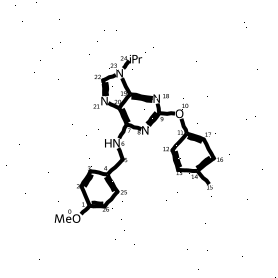 COc1ccc(CNc2nc(Oc3ccc(C)cc3)nc3c2ncn3C(C)C)cc1